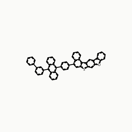 c1ccc(-c2cccc(-c3c4ccccc4c(-c4ccc(-c5cc6sc7cc8oc9ccccc9c8cc7c6c6ccccc56)cc4)c4ccccc34)c2)cc1